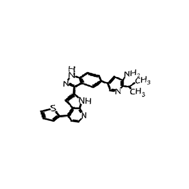 CC(C)c1ncc(-c2ccc3[nH]nc(-c4cc5c(-c6cccs6)ccnc5[nH]4)c3c2)cc1N